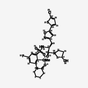 COc1c(N2CCCCC2=O)cc(F)cc1S(=O)(=O)N[C@@H](Cc1cc(-c2ccc(Cl)s2)on1)C(=O)N1CCC(O)C1